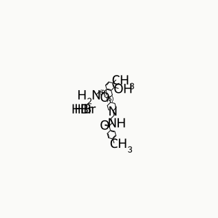 Br.Br.Cc1ccc(C(=O)NCCN2CCC([C@@H]3Cc4c(ccc(C)c4O)[C@H](CN)O3)CC2)cc1